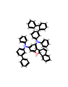 c1ccc(-c2cccc(N(c3ccccc3)c3cc(N(c4ccccc4)c4cccc(-c5ccccc5-c5ccccc5)c4)c4c(c3)oc3c5ccccc5ccc34)c2)cc1